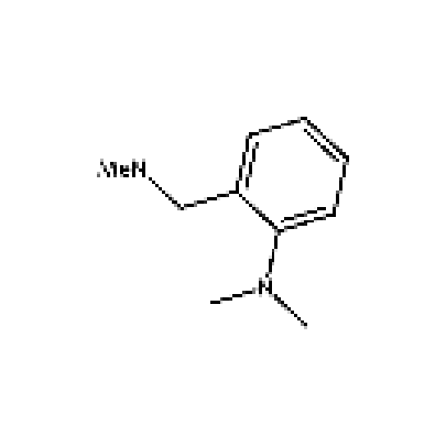 CNCc1ccccc1N(C)C